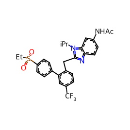 CCS(=O)(=O)c1ccc(-c2cc(C(F)(F)F)ccc2Cc2nc3ccc(NC(C)=O)cc3n2C(C)C)cc1